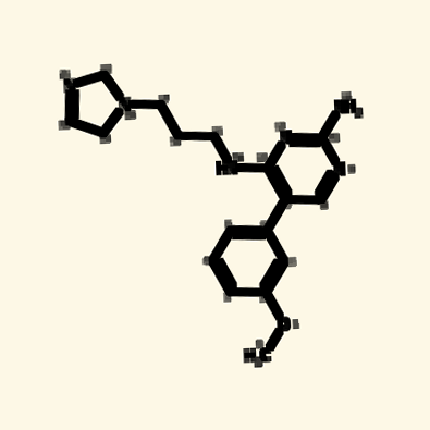 COc1cccc(-c2cnc(N)nc2NCCCN2CC=NC2)c1